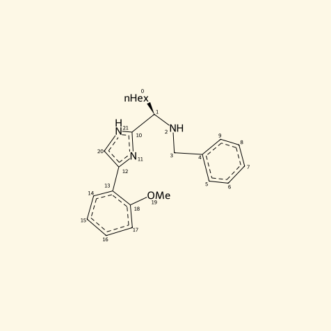 CCCCCC[C@@H](NCc1ccccc1)c1nc(-c2ccccc2OC)c[nH]1